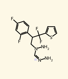 N/N=C\N(N)CC(c1ccc(F)cc1F)C(F)(F)c1cccs1